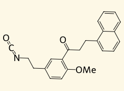 COc1ccc(CCN=C=O)cc1C(=O)CCc1cccc2ccccc12